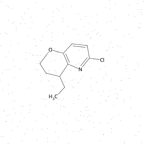 CCC1CCOc2ccc(Cl)nc21